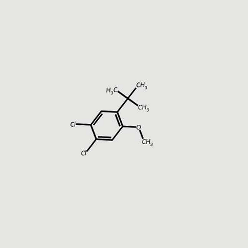 COc1cc(Cl)c(Cl)cc1C(C)(C)C